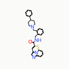 O=C(NCc1ccccc1CN1CCC(c2ccccc2)CC1)C1=Cc2cnc3cccc(n23)S1